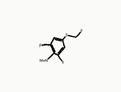 CNc1c(F)cc(SCF)cc1F